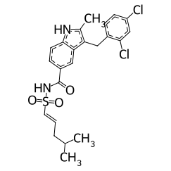 Cc1[nH]c2ccc(C(=O)NS(=O)(=O)C=CCC(C)C)cc2c1Cc1ccc(Cl)cc1Cl